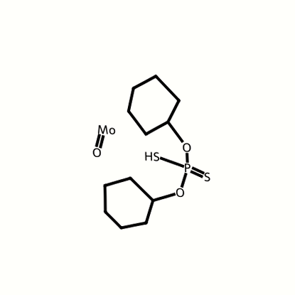 S=P(S)(OC1CCCCC1)OC1CCCCC1.[O]=[Mo]